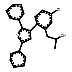 CC(O)Cc1cc(Cl)ccc1-c1cc(-c2ccccc2)sc1-c1ccccc1